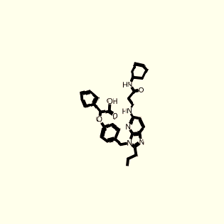 CCCc1nc2ccc(NCCC(=O)NC3CCCCC3)nc2n1Cc1ccc(OC(C(=O)O)c2ccccc2)cc1